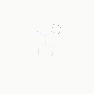 NC(c1ccc(C(F)(F)F)cc1F)C1CCC1